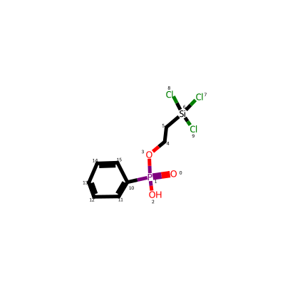 O=P(O)(OCC[Si](Cl)(Cl)Cl)c1ccccc1